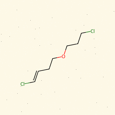 ClC=CCCOCCCCl